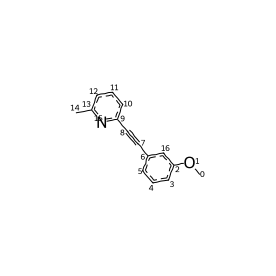 COc1cccc(C#Cc2cccc(C)n2)c1